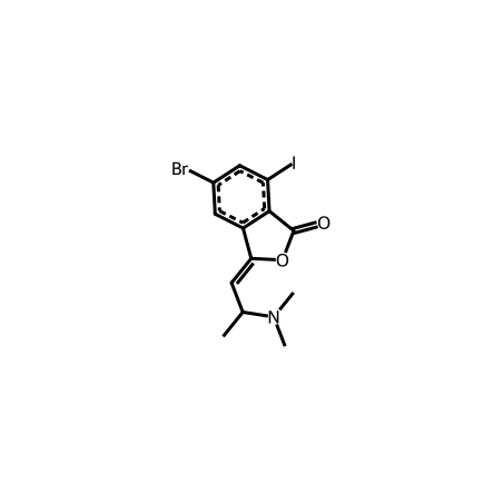 CC(/C=C1\OC(=O)c2c(I)cc(Br)cc21)N(C)C